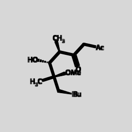 CC[C@H](C)C[C@@](C)(OC)[C@H](O)[C@@H](C)C(=O)CC(C)=O